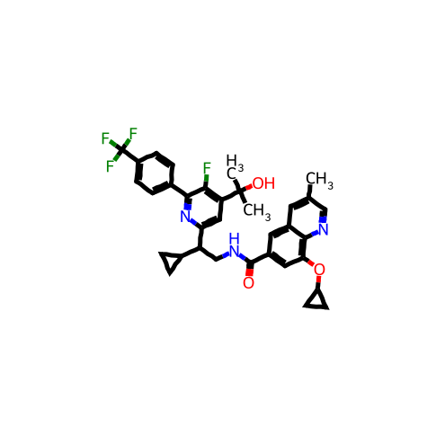 Cc1cnc2c(OC3CC3)cc(C(=O)NCC(c3cc(C(C)(C)O)c(F)c(-c4ccc(C(F)(F)F)cc4)n3)C3CC3)cc2c1